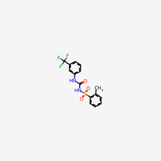 Cc1ccccc1S(=O)(=O)NC(=O)Nc1cccc(C(F)(F)F)c1